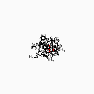 CSCC[C@H](NC(=O)[C@H](CCC(N)=O)NC(=O)[C@@H](N)Cc1ccccc1)C(=O)N[C@@H](CC(N)=O)C(=O)N[C@H](C(=O)N[C@@H](CO)C(=O)N[C@@H](C)C(=O)N[C@@H](CS)C(=O)N[C@@H](C)C(=O)N[C@@H](Cc1c[nH]c2ccccc12)C(=O)O)C(C)C